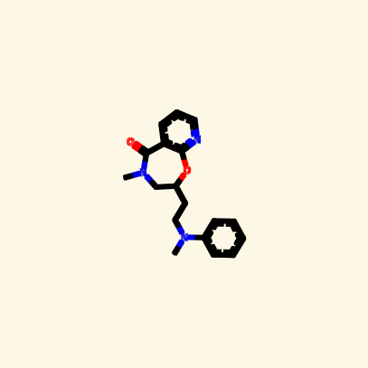 CN1CC(CCN(C)c2ccccc2)Oc2ncccc2C1=O